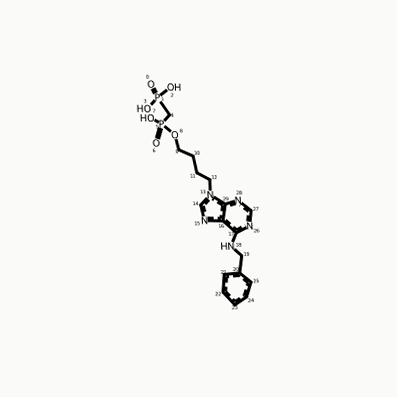 O=P(O)(O)CP(=O)(O)OCCCCn1cnc2c(NCc3ccccc3)ncnc21